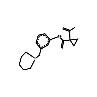 C=C(C)C1(C(=C)Nc2cccc(CN3CCCCC3)c2)CC1